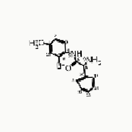 Cc1ccc(NC(=O)[C@@H](N)c2ccccc2)c(Br)c1